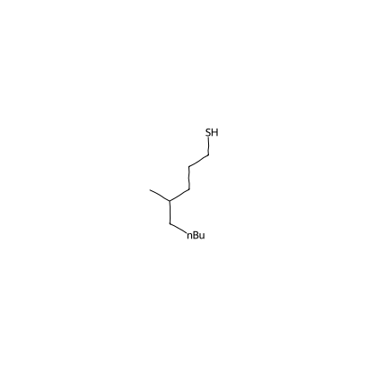 CCCCCC(C)CCCS